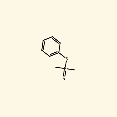 CP(C)(=S)Sc1ccccc1